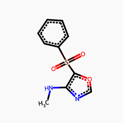 CNc1ncoc1S(=O)(=O)c1ccccc1